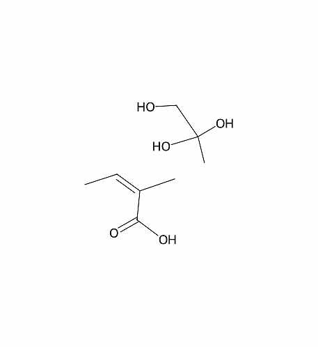 CC(O)(O)CO.CC=C(C)C(=O)O